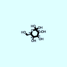 OC[C@H]1OC(O)(O)[C@H](O)[C@@H](O)[C@H]1O